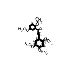 COc1ccc(OC)c(C(=O)C#Cc2cc(OC)c(OC)cc2OC)c1